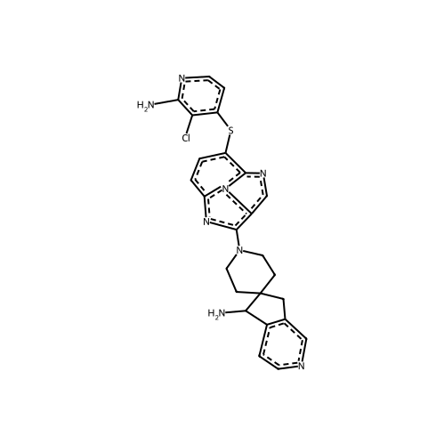 Nc1nccc(Sc2ccc3nc(N4CCC5(CC4)Cc4cnccc4C5N)c4cnc2n34)c1Cl